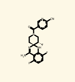 N#Cc1ccc(C(=O)N2CC[C@@]3(N=C(N)c4c(F)ccc(F)c4N3)[C@@H](F)C2)cn1